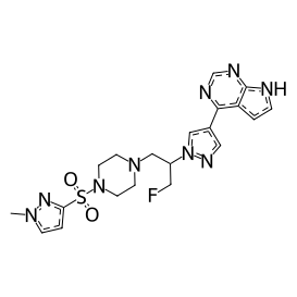 Cn1ccc(S(=O)(=O)N2CCN(CC(CF)n3cc(-c4ncnc5[nH]ccc45)cn3)CC2)n1